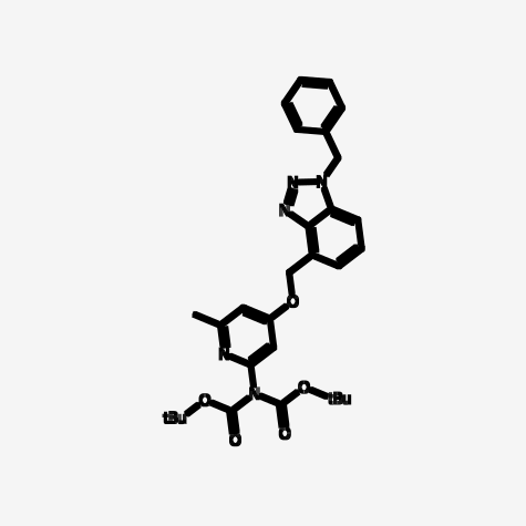 Cc1cc(OCc2cccc3c2nnn3Cc2ccccc2)cc(N(C(=O)OC(C)(C)C)C(=O)OC(C)(C)C)n1